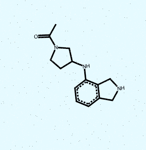 CC(=O)N1CCC(Nc2cccc3c2CNC3)C1